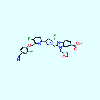 N#Cc1ccc(OCc2nc(C3C[C@H](CF)N(Cc4nc5ccc(C(=O)O)cc5n4CC4CCO4)C3)ccc2F)c(F)c1